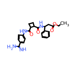 CCOC(=O)CC(NC(=O)C1CCC1C(=O)Nc1ccc(C(=N)N)cc1)c1ccccc1